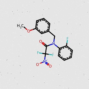 COc1cccc(CN(C(=O)C(F)(F)[N+](=O)[O-])c2ccccc2F)c1